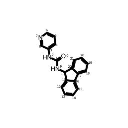 O=C(Nc1cccnc1)NC1c2ccccc2-c2ccccc21